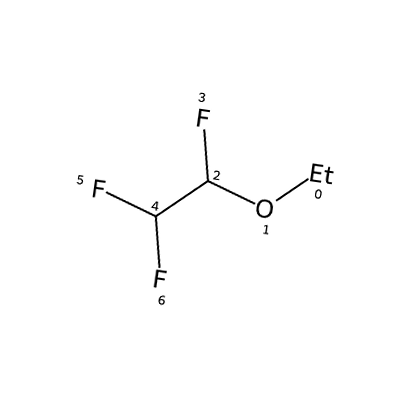 [CH2]COC(F)C(F)F